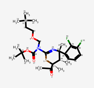 CC(=O)[C@@]1(C)SC(N(COCC[Si](C)(C)C)C(=O)OC(C)(C)C)=N[C@](C)(c2cccc(F)c2F)[C@@H]1C